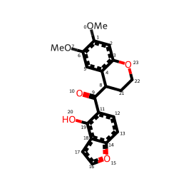 COc1cc2c(cc1OC)C(C(=O)c1ccc3occc3c1O)CCO2